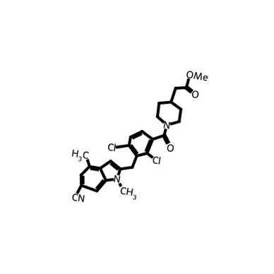 COC(=O)CC1CCN(C(=O)c2ccc(Cl)c(Cc3cc4c(C)cc(C#N)cc4n3C)c2Cl)CC1